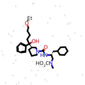 CCOCCCCC(O)(c1ccccc1)[C@@H]1CCCN(C(=O)N[C@H](CC2CCCCC2)CN(C)C(=O)O)C1